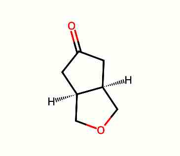 O=C1C[C@H]2COC[C@H]2C1